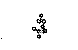 C1=CC(C2=CC(c3ccccc3)NC(n3c4ccccc4c4cc(C5=CCCc6c5c5c(n6C6=CCCC=C6)CCC=C5)ccc43)=C2)=CCC1